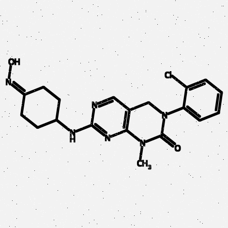 CN1C(=O)N(c2ccccc2Cl)Cc2cnc(NC3CCC(=NO)CC3)nc21